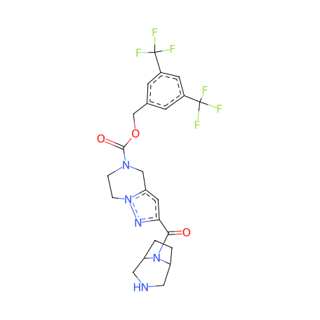 O=C(OCc1cc(C(F)(F)F)cc(C(F)(F)F)c1)N1CCn2nc(C(=O)N3C4CCC3CNC4)cc2C1